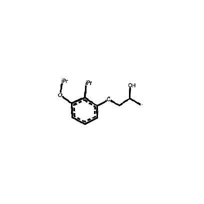 [CH2]C(O)COc1cccc(OC(C)C)c1C(C)C